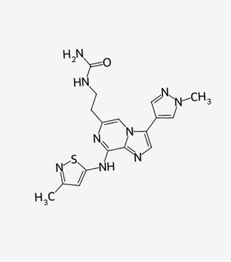 Cc1cc(Nc2nc(CCNC(N)=O)cn3c(-c4cnn(C)c4)cnc23)sn1